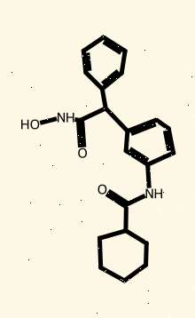 O=C(Nc1cccc(C(C(=O)NO)c2ccccc2)c1)C1CCCCC1